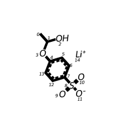 CC(O)Oc1ccc(S(=O)(=O)[O-])cc1.[Li+]